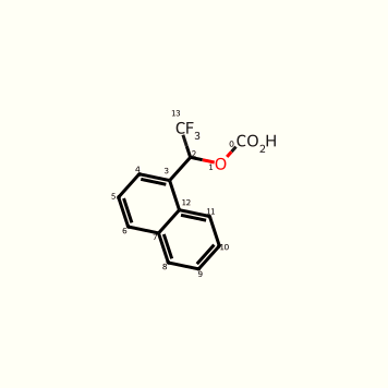 O=C(O)OC(c1cccc2ccccc12)C(F)(F)F